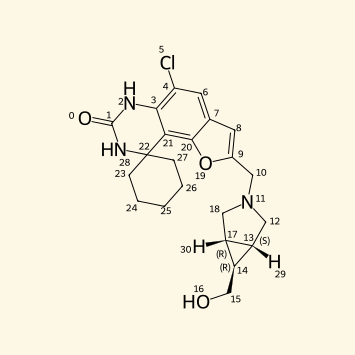 O=C1Nc2c(Cl)cc3cc(CN4C[C@@H]5[C@@H](CO)[C@@H]5C4)oc3c2C2(CCCCC2)N1